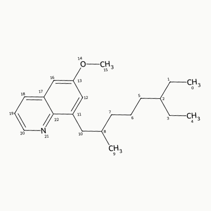 CCC(CC)CCCC(C)Cc1cc(OC)cc2cccnc12